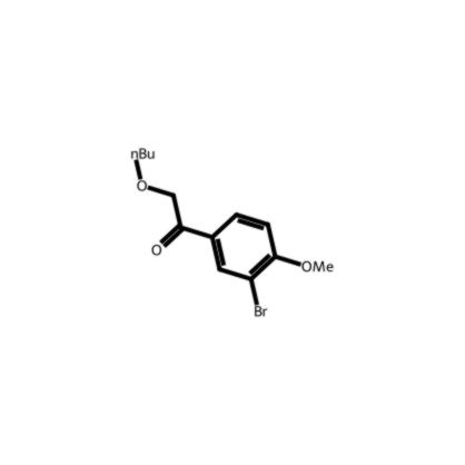 CCCCOCC(=O)c1ccc(OC)c(Br)c1